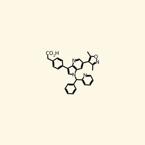 Cc1noc(C)c1-c1cnc2c(-c3ccc(CC(=O)O)cc3)cn(C(c3ccccc3)c3ccccn3)c2c1